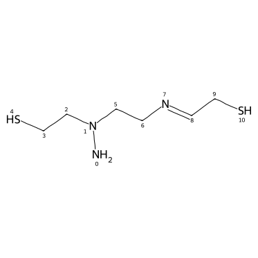 NN(CCS)CC/N=C/CS